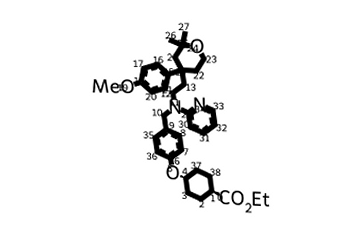 CCOC(=O)[C@H]1CC[C@H](Oc2ccc(CN(CCC3(c4ccc(OC)cc4)CCOC(C)(C)C3)c3ccccn3)cc2)CC1